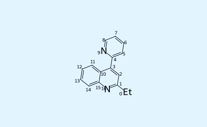 CCc1cc(-c2ccccn2)c2ccccc2n1